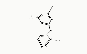 O=C(O)c1cc(F)cc(Cc2ccccc2F)c1